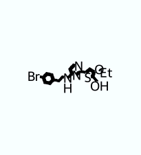 CCOc1cc(-c2nccc(NCCc3ccc(Br)cc3)n2)sc1CO